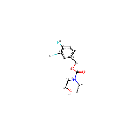 O=C(OCc1ccc(F)c(F)c1)N1CCOCC1